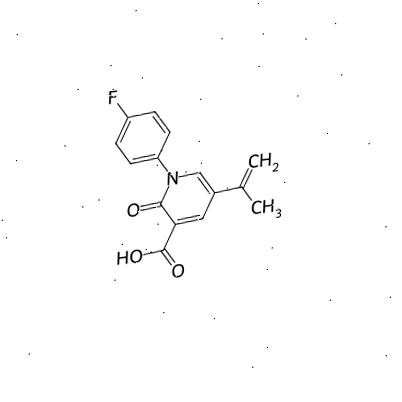 C=C(C)c1cc(C(=O)O)c(=O)n(-c2ccc(F)cc2)c1